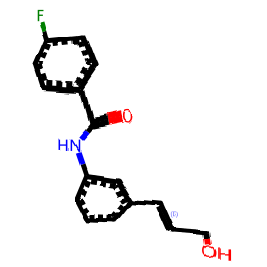 O=C(Nc1cccc(/C=C/CO)c1)c1ccc(F)cc1